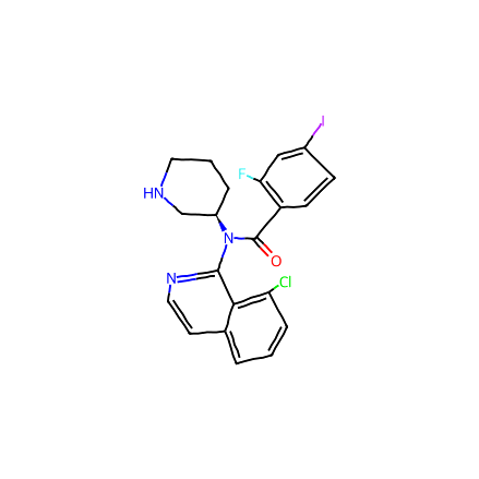 O=C(c1ccc(I)cc1F)N(c1nccc2cccc(Cl)c12)[C@@H]1CCCNC1